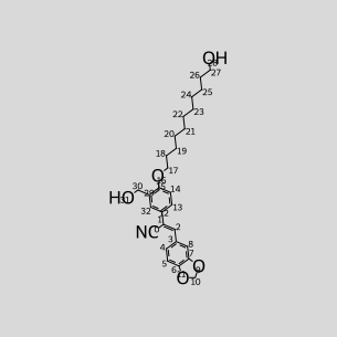 N#C/C(=C\c1ccc2c(c1)OCO2)c1ccc(OCCCCCCCCCCCO)c(CO)c1